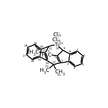 CC1=C2c3ccccc3[CH]1[Ti+2][CH]1C(C)=C(c3ccccc31)C2(C)C.[Cl-].[Cl-]